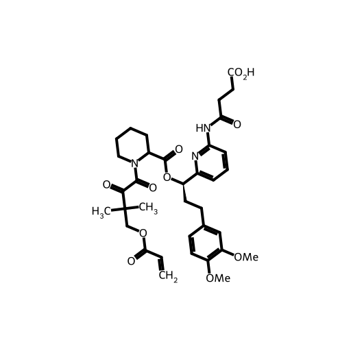 C=CC(=O)OCC(C)(C)C(=O)C(=O)N1CCCCC1C(=O)O[C@H](CCc1ccc(OC)c(OC)c1)c1cccc(NC(=O)CCC(=O)O)n1